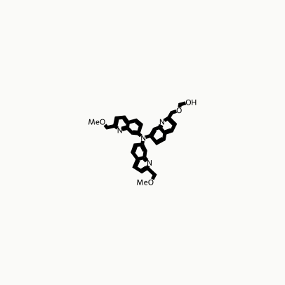 COCc1ccc2ccc(N(c3ccc4ccc(COC)nc4c3)c3ccc4ccc(COCO)nc4c3)cc2n1